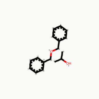 CC(C)O.c1ccc(COCc2ccccc2)cc1